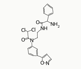 NC(C(=O)NCCN(C(=O)C(Cl)Cl)c1cccc(-c2ccno2)c1)c1ccccc1